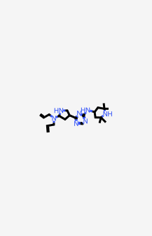 C=CCN(CC=C)C1CC(c2ncnc(NC3CC(C)(C)NC(C)(C)C3)n2)CN1